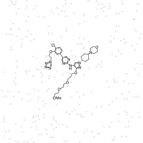 COCCOCCOCCCOc1nn([C@H]2CC[C@H](N3CCOCC3)CC2)cc1Nc1ncc(-c2ccc(Cl)c(O[C@@H](C)Cn3cnnn3)c2)cn1